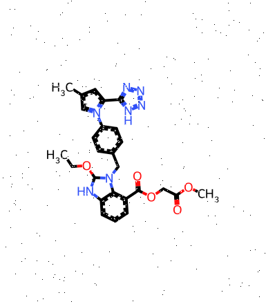 CCOC1Nc2cccc(C(=O)OCC(=O)OC)c2N1Cc1ccc(-n2cc(C)cc2-c2nnn[nH]2)cc1